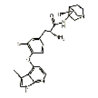 Cc1c[nH]c2nccc(Oc3ccc(C[C@H](N)C(=O)N[C@H]4CN5CCC4CC5)cc3F)c12